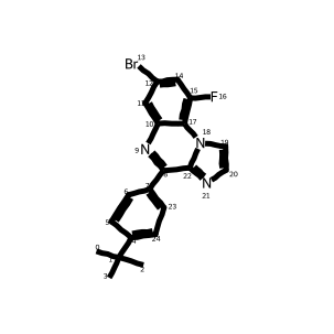 CC(C)(C)c1ccc(-c2nc3cc(Br)cc(F)c3n3ccnc23)cc1